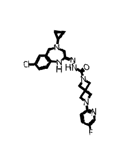 O=C(N/N=C1/CN(C2CC2)Cc2cc(Cl)ccc2N1)N1CC2(C1)CN(c1ccc(F)cn1)C2